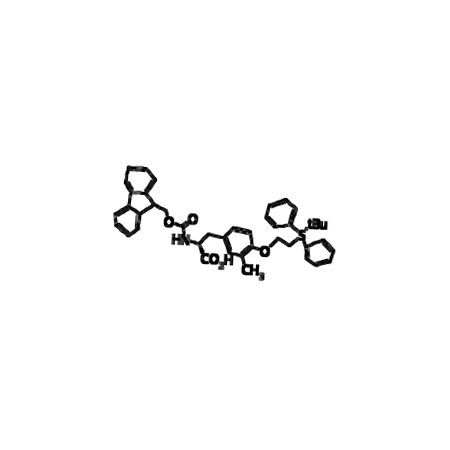 Cc1cc(C[C@H](NC(=O)OCC2c3ccccc3-c3ccccc32)C(=O)O)ccc1OCCS(c1ccccc1)(c1ccccc1)C(C)(C)C